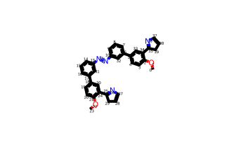 COc1ccc(-c2cccc(/N=N/c3cccc(-c4ccc(OC)c(C5=NC=CC5)c4)c3)c2)cc1C1=NC=CC1